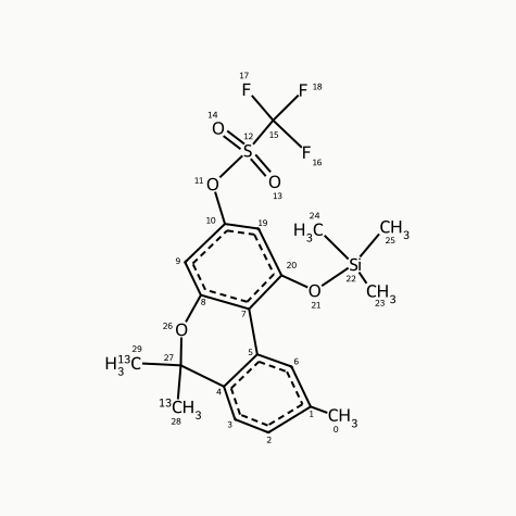 Cc1ccc2c(c1)-c1c(cc(OS(=O)(=O)C(F)(F)F)cc1O[Si](C)(C)C)OC2([13CH3])[13CH3]